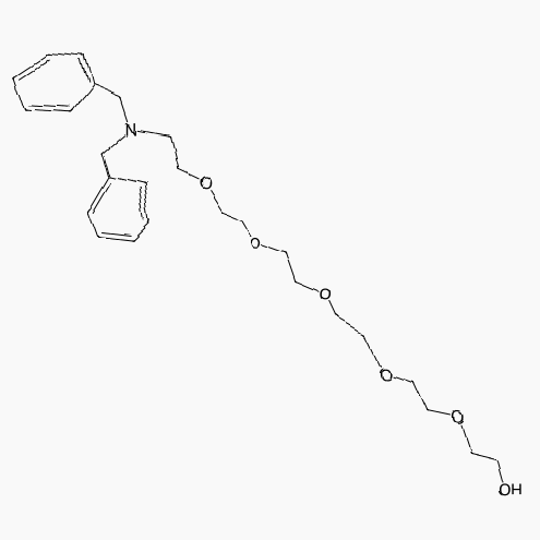 OCCOCCOCCOCCOCCOCCN(Cc1ccccc1)Cc1ccccc1